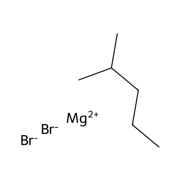 CCCC(C)C.[Br-].[Br-].[Mg+2]